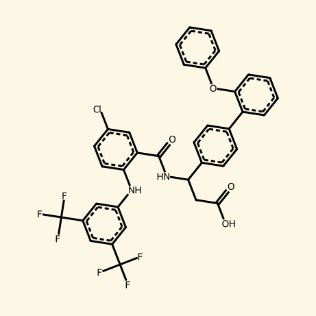 O=C(O)CC(NC(=O)c1cc(Cl)ccc1Nc1cc(C(F)(F)F)cc(C(F)(F)F)c1)c1ccc(-c2ccccc2Oc2ccccc2)cc1